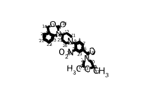 C[C@@H]1CN(C(=O)c2ccc(N3CCC(N4C(=O)OCc5ccccc54)CC3)c([N+](=O)[O-])c2)C[C@H](C)O1